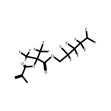 C=C(C)C(=O)OC(C(=O)OCC(F)(F)C(F)(F)C(F)(F)C(F)F)(C(F)(F)F)C(F)(F)F